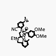 CCN(Cc1cccc(C)n1)C(=O)CN(c1cc(N(C)C)ccc1C#N)S(=O)(=O)c1ccc(OC)c(OC)c1